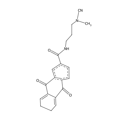 CN(C#N)CCCNC(=O)c1ccc2c(c1)C(=O)C1=CCCC=C1C2=O